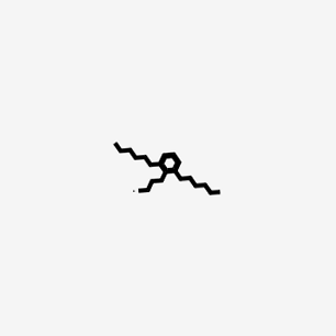 [CH2]CCCc1c(CCCCCC)cccc1CCCCCC